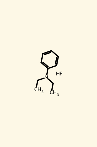 CCN(CC)c1ccccc1.F